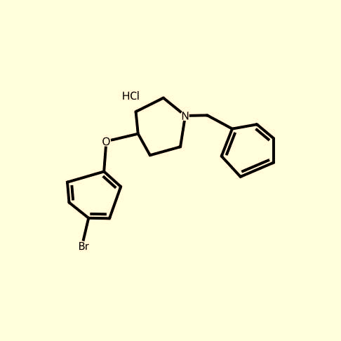 Brc1ccc(OC2CCN(Cc3ccccc3)CC2)cc1.Cl